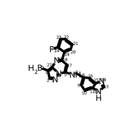 Bc1cnn2c(NCc3ccc4[nH]cnc4c3)cc(-c3ccccc3F)nc12